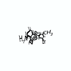 Cc1cc(Br)cc(S(=O)(=O)c2cccc(N)c2C#N)c1